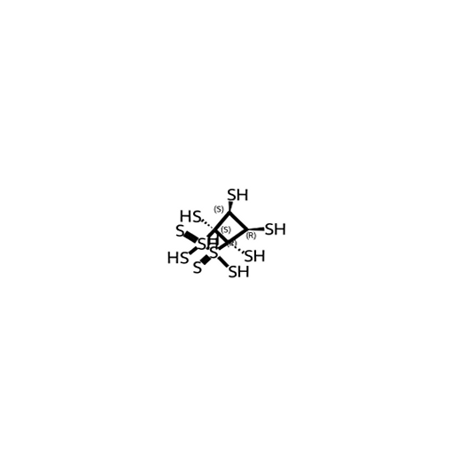 S=[SH]1(S)[C@@]2(S)[C@@H](S)[C@@H](S)[C@@]2(S)[SH]1(=S)S